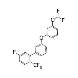 Fc1[c]c(-c2cccc(Oc3cccc(OC(F)F)c3)c2)c(C(F)(F)F)cc1